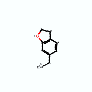 CC(C)(C)Cc1ccc2c(c1)OCC2